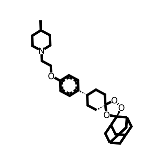 CC1CCN(CCOc2ccc([C@H]3CC[C@]4(CC3)OO[C@]3(O4)C4CC5CC(C4)CC3C5)cc2)CC1